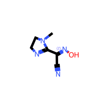 CN1CCN=C1/C(C#N)=N/O